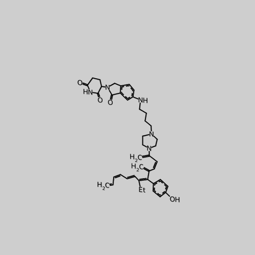 C=C\C=C/C=C/C(CC)=C(\C(=C)/C=C\C(=C)N1CCN(CCCCNc2ccc3c(c2)C(=O)N(C2CCC(=O)NC2=O)C3)CC1)c1ccc(O)cc1